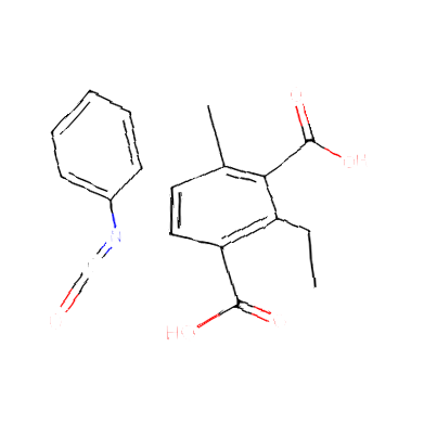 CCc1c(C(=O)O)ccc(C)c1C(=O)O.O=C=Nc1ccccc1